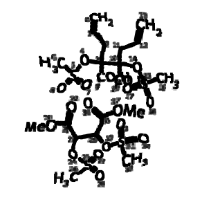 C=CCC(OS(C)(=O)=O)(C(=O)O)C(CC=C)(OS(C)(=O)=O)C(=O)O.COC(=O)C(OS(C)(=O)=O)C(OS(C)(=O)=O)C(=O)OC